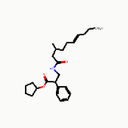 CC(CCC=CCCC(=O)O)CC(=O)NCC(C(=O)OC1CCCC1)c1ccccc1